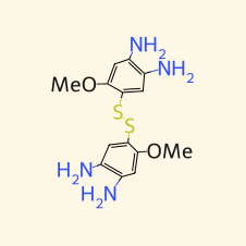 COc1cc(N)c(N)cc1SSc1cc(N)c(N)cc1OC